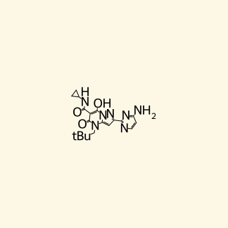 CC(C)(C)Cn1c(=O)c(C(=O)NC2CC2)c(O)n2nc(-c3nccc(N)n3)cc12